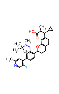 Cc1cc(-c2ccc(C3CCc4ccc([C@H](C5CC5)[C@H](C)C(=O)O)cc4O3)c(CN(C)C(C)(C)C)c2)c(F)cn1